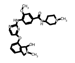 COc1cc(C(=O)NC2CCN(C)CC2)ccc1Nc1nccc(Oc2cccc3c2C(O)N(C)C3)n1